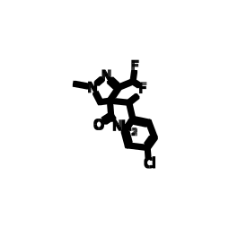 CC(c1ccc(Cl)cc1)C1(C(N)=O)CN(C)N=C1C(F)F